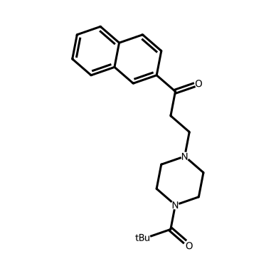 CC(C)(C)C(=O)N1CCN(CCC(=O)c2ccc3ccccc3c2)CC1